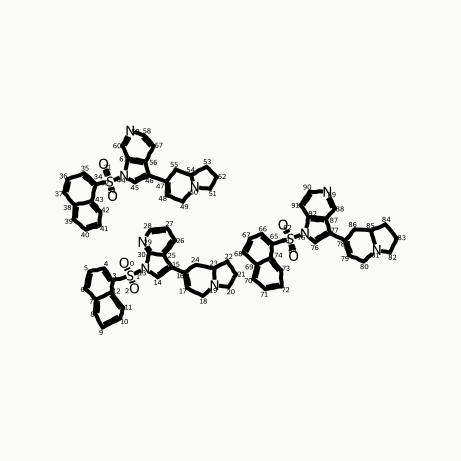 O=S(=O)(c1cccc2ccccc12)n1cc(C2=CCN3CCCC3C2)c2cccnc21.O=S(=O)(c1cccc2ccccc12)n1cc(C2=CCN3CCCC3C2)c2ccncc21.O=S(=O)(c1cccc2ccccc12)n1cc(C2=CCN3CCCC3C2)c2cnccc21